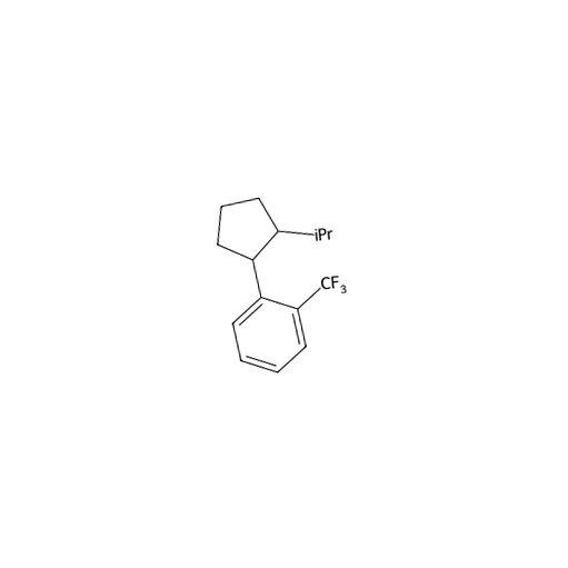 CC(C)C1CCCC1c1ccccc1C(F)(F)F